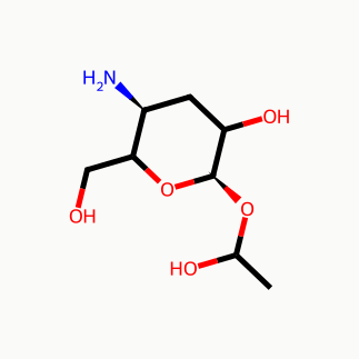 CC(O)O[C@H]1OC(CO)[C@@H](N)CC1O